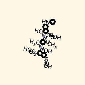 COc1cc(/N=N/c2cc(SOOO)cc3cc(SOOO)cc(O)c23)c(C)cc1/N=N/c1c(SOOO)cc2cc(Nc3ccccc3)ccc2c1O